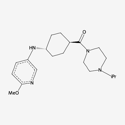 COc1ccc(N[C@H]2CC[C@H](C(=O)N3CCN(C(C)C)CC3)CC2)cn1